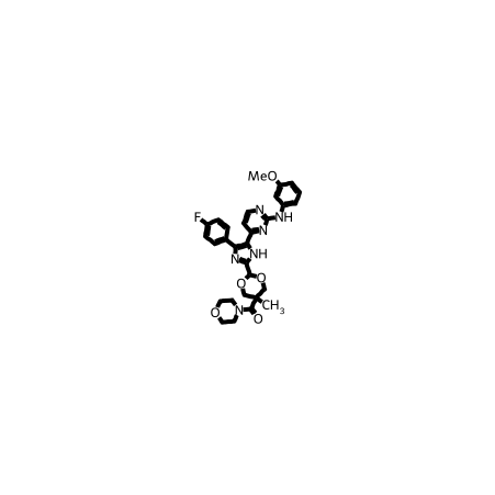 COc1cccc(Nc2nccc(-c3[nH]c(C4OCC(C)(C(=O)N5CCOCC5)CO4)nc3-c3ccc(F)cc3)n2)c1